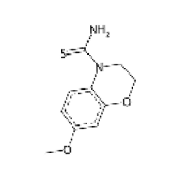 COc1ccc2c(c1)OCCN2C(N)=S